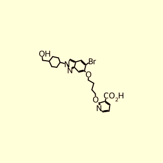 O=C(O)c1cccnc1OCCCCOc1cc2nn(C3CCC(CO)CC3)cc2cc1Br